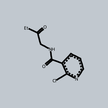 CCC(=O)CNC(=O)c1cccnc1Cl